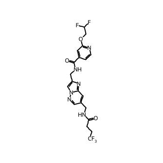 O=C(CCC(F)(F)F)NCc1cnn2cc(CNC(=O)c3ccnc(OCC(F)F)c3)nc2c1